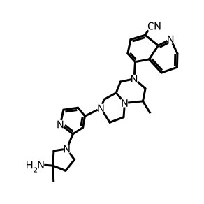 CC1CN(c2ccc(C#N)c3ncccc23)CC2CN(c3ccnc(N4CCC(C)(N)C4)c3)CCN12